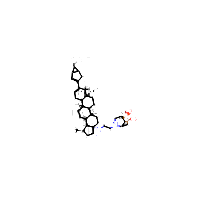 C=C(C)[C@@H]1CC[C@]2(NCCN3C[C@@H]4CC3CS4(=O)=O)CC[C@]3(C)[C@H](CC[C@@H]4[C@@]5(C)CC=C(C6=CC7C(C6)C7C(=O)OCC)C(C)(C)[C@@H]5CC[C@]43C)[C@@H]12